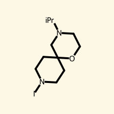 CC(C)N1CCOC2(CCN(I)CC2)C1